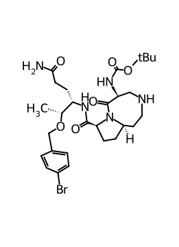 C[C@@H](OCc1ccc(Br)cc1)[C@H](CCC(N)=O)NC(=O)[C@@H]1CC[C@@H]2CCNC[C@H](NC(=O)OC(C)(C)C)C(=O)N21